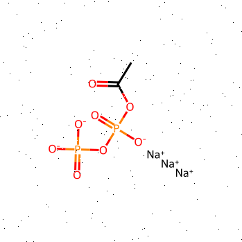 CC(=O)OP(=O)([O-])OP(=O)([O-])[O-].[Na+].[Na+].[Na+]